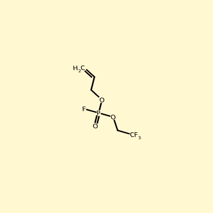 C=CCOP(=O)(F)OCC(F)(F)F